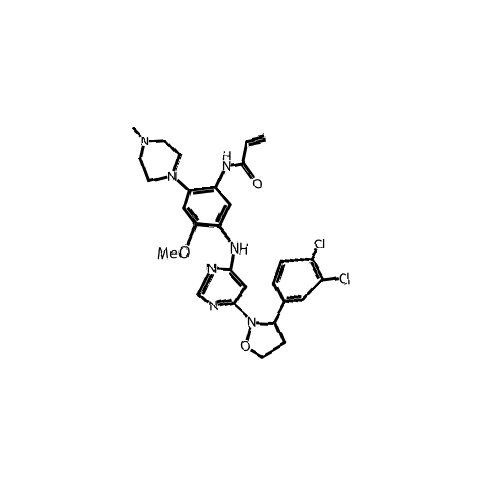 C=CC(=O)Nc1cc(Nc2cc(N3OCCC3c3ccc(Cl)c(Cl)c3)ncn2)c(OC)cc1N1CCN(C)CC1